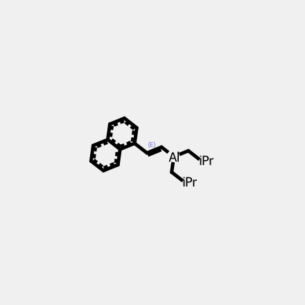 CC(C)[CH2][Al](/[CH]=C/c1cccc2ccccc12)[CH2]C(C)C